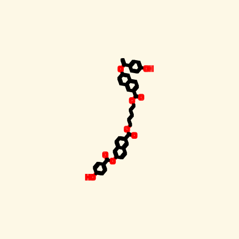 C=C(Oc1ccc2cc(C(=O)OCCCCCOC(=O)c3ccc4cc(OC(=O)c5ccc(O)cc5)ccc4c3)ccc2c1)c1ccc(O)cc1